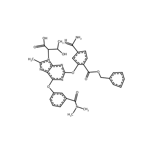 Cc1nc2c(Oc3cccc(C(=O)N(C)C)c3)nc(Oc3cc(C(=N)N)ccc3C(=O)OCc3ccccc3)nc2n1C(C(=O)O)C(C)O